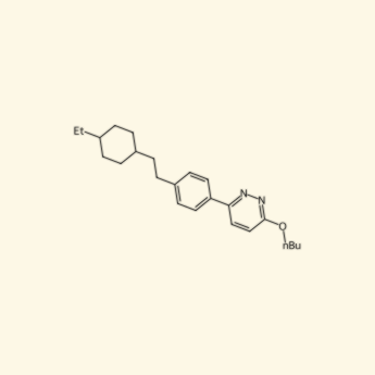 CCCCOc1ccc(-c2ccc(CCC3CCC(CC)CC3)cc2)nn1